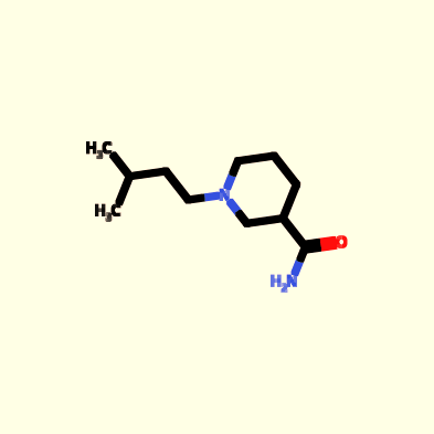 CC(C)CCN1CCCC(C(N)=O)C1